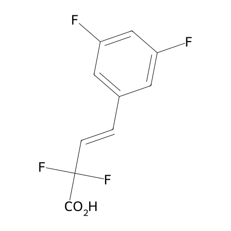 O=C(O)C(F)(F)C=Cc1cc(F)cc(F)c1